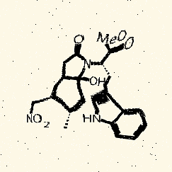 COC(=O)[C@H](Cc1c[nH]c2ccccc12)N1C(=O)CC2[C@H](C[N+](=O)[O-])[C@@H](C)CC21O